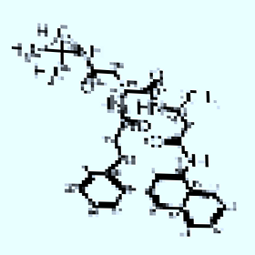 C[C@@H](CC(=O)Nc1cccc2ccccc12)NC(=O)[C@H](CC(=O)NC(C)(C)C)NC(=O)CCc1ccccc1